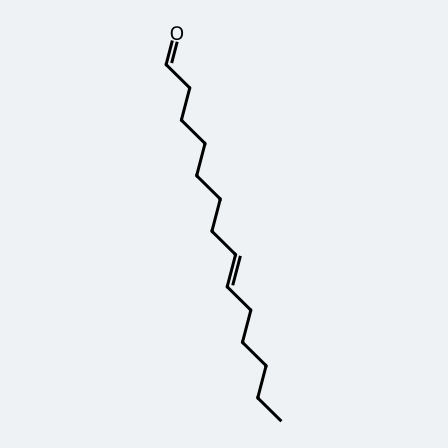 CCCCCC=CCCCCCCC=O